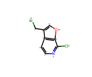 Clc1nccc2c(CBr)coc12